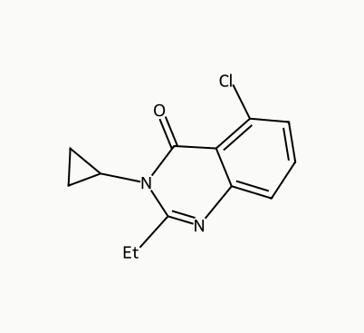 CCc1nc2cccc(Cl)c2c(=O)n1C1CC1